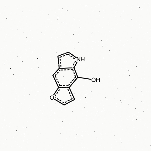 Oc1c2ccoc2cc2cc[nH]c12